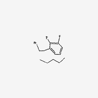 CCCCC.Fc1cccc(CBr)c1F